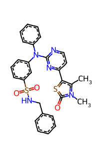 Cc1c(-c2ccnc(N(c3ccccc3)c3cccc(S(=O)(=O)NCc4ccccc4)c3)n2)sc(=O)n1C